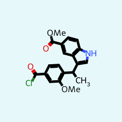 COC(=O)c1ccc2[nH]cc(C(C)c3ccc(C(=O)Cl)cc3OC)c2c1